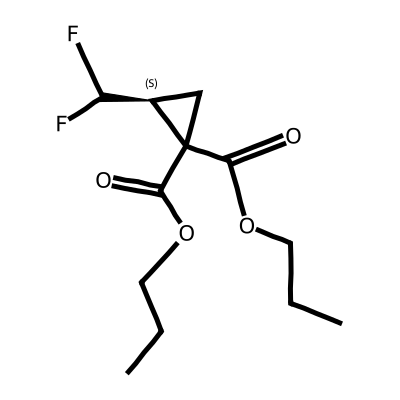 CCCOC(=O)C1(C(=O)OCCC)C[C@@H]1C(F)F